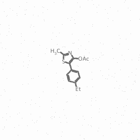 CCc1ccc(-c2sc(C)nc2OC(C)=O)cc1